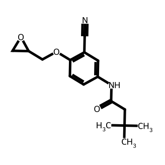 CC(C)(C)CC(=O)Nc1ccc(OCC2CO2)c(C#N)c1